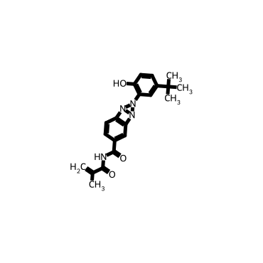 C=C(C)C(=O)NC(=O)c1ccc2c(c1)n1n(-c3cc(C(C)(C)C)ccc3O)n21